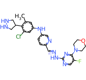 Cc1cc(Nc2ccc(/C=N/Nc3ncc(F)c(N4CCOCC4)n3)nc2)cc(Cl)c1C1CNNC1